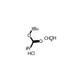 C.CC(C)C(=O)OC(C)(C)C.Cl.Cl